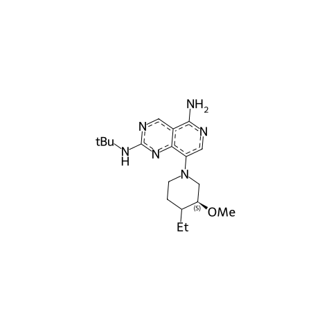 CCC1CCN(c2cnc(N)c3cnc(NC(C)(C)C)nc23)C[C@H]1OC